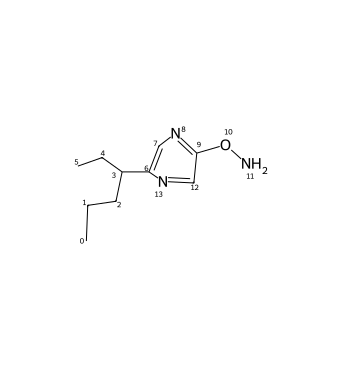 CCCC(CC)c1cnc(ON)cn1